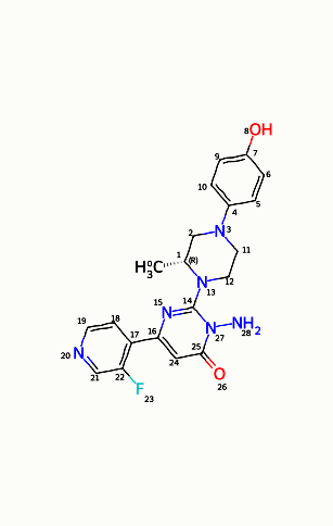 C[C@@H]1CN(c2ccc(O)cc2)CCN1c1nc(-c2ccncc2F)cc(=O)n1N